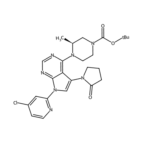 C[C@H]1CN(C(=O)OC(C)(C)C)CCN1c1ncnc2c1c(N1CCCC1=O)cn2-c1cc(Cl)ccn1